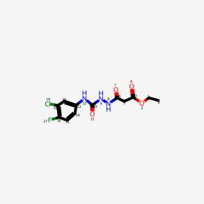 CCOC(=O)CC(=O)NNC(=O)Nc1ccc(F)c(Cl)c1